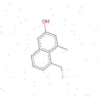 Cc1cc(O)cc2cccc(CF)c12